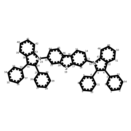 c1ccc(-c2c(-c3ccccc3)n(-c3ccc4c(c3)sc3cc(-n5c(-c6ccccc6)c(-c6ccccc6)c6ccccc65)ccc34)c3ccccc23)cc1